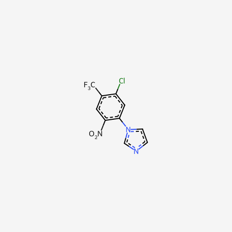 O=[N+]([O-])c1cc(C(F)(F)F)c(Cl)cc1-n1ccnc1